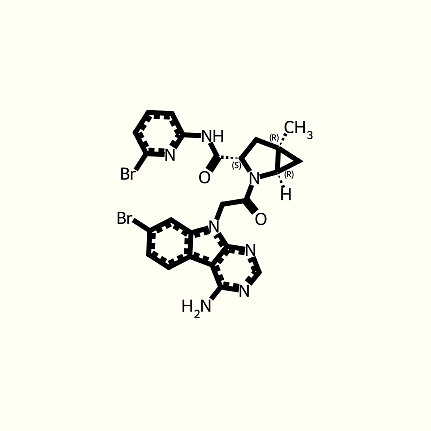 C[C@@]12C[C@@H](C(=O)Nc3cccc(Br)n3)N(C(=O)Cn3c4cc(Br)ccc4c4c(N)ncnc43)[C@@H]1C2